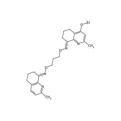 CCOc1cc(C)nc2c1CCC/C2=N\OCCCO/N=C1\CCCc2ccc(C)nc21